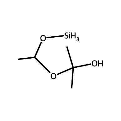 CC(O[SiH3])OC(C)(C)O